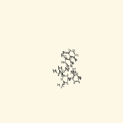 C[C@@H]1C[C@H](N)CN(c2ccncc2NCc2nc(-c3c(F)cccc3F)c(F)cc2N)C1